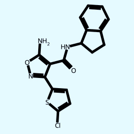 Nc1onc(-c2ccc(Cl)s2)c1C(=O)NC1CCc2ccccc21